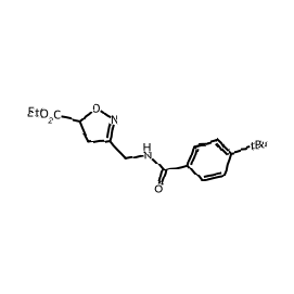 CCOC(=O)C1CC(CNC(=O)c2ccc(C(C)(C)C)cc2)=NO1